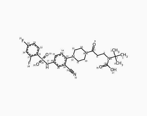 CC(C)(C)N(CCC(=O)N1CCN(c2ncc(NS(=O)(=O)c3ccc(F)cc3F)cc2C#N)CC1)C(=O)O